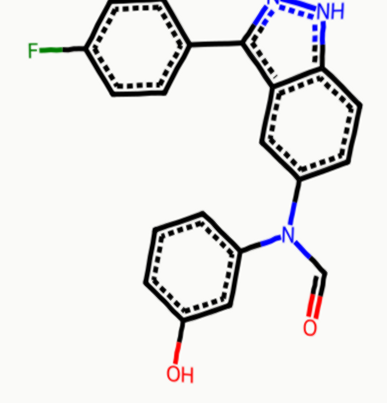 O=CN(c1cccc(O)c1)c1ccc2[nH]nc(-c3ccc(F)cc3)c2c1